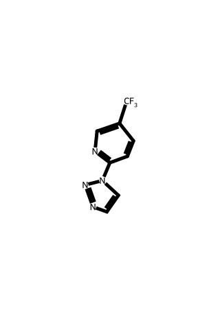 FC(F)(F)c1ccc(-n2ccnn2)nc1